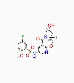 COc1ccc(F)cc1S(=O)(=O)Nc1cnc2c(c1)C(=O)N1C[C@@H](O)C[C@@H]1CO2